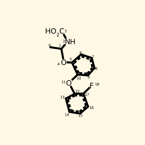 CC(NC(=O)O)Oc1ccccc1Oc1ccccc1F